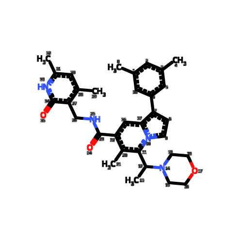 Cc1cc(C)cc(-c2ccn3c(C(C)N4CCOCC4)c(C)c(C(=O)NCc4c(C)cc(C)[nH]c4=O)cc23)c1